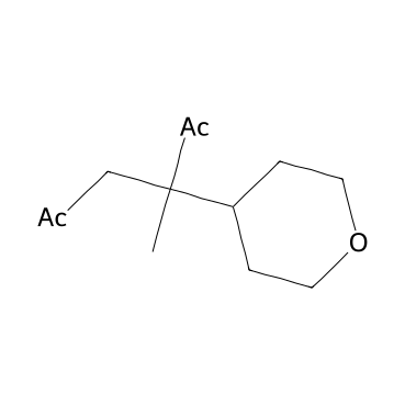 CC(=O)CC(C)(C(C)=O)C1CCOCC1